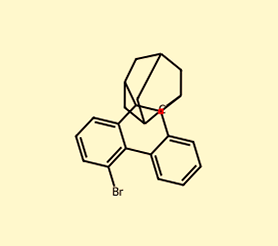 Brc1cccc2c1-c1ccccc1C1C3CC4CC(C3)CC(C4)C21